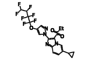 CCS(=O)(=O)c1c(-n2cc(OC(F)(F)C(F)(F)C(F)C(F)F)cn2)nc2ccc(C3CC3)cn12